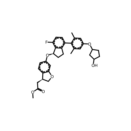 COC(=O)C[C@@H]1COc2cc(O[C@@H]3CCc4c(-c5c(C)cc(OC6CCC(O)C6)cc5C)ccc(F)c43)ccc21